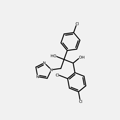 OC(c1ccc(Cl)cc1Cl)C(O)(Cn1cncn1)c1ccc(Cl)cc1